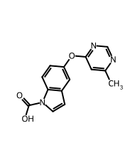 Cc1cc(Oc2ccc3c(ccn3C(=O)O)c2)ncn1